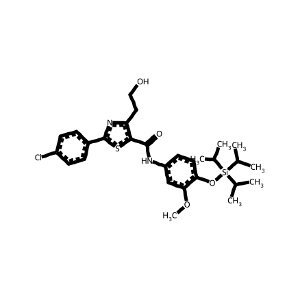 COc1cc(NC(=O)c2sc(-c3ccc(Cl)cc3)nc2CCO)ccc1O[Si](C(C)C)(C(C)C)C(C)C